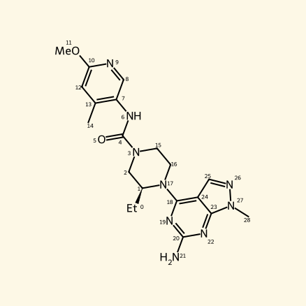 CC[C@H]1CN(C(=O)Nc2cnc(OC)cc2C)CCN1c1nc(N)nc2c1cnn2C